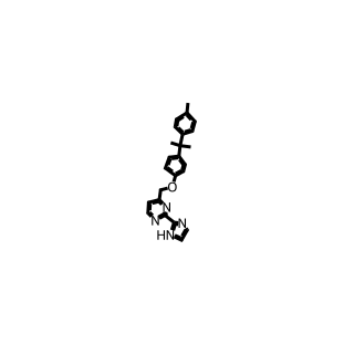 Cc1ccc(C(C)(C)c2ccc(OCc3ccnc(-c4ncc[nH]4)n3)cc2)cc1